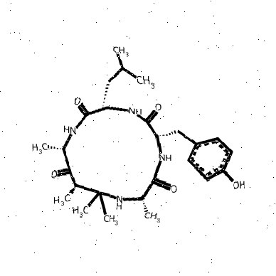 CC(C)C[C@@H]1NC(=O)[C@H](Cc2ccc(O)cc2)NC(=O)[C@H](C)NC(C)(C)[C@@H](C)C(=O)[C@H](C)NC1=O